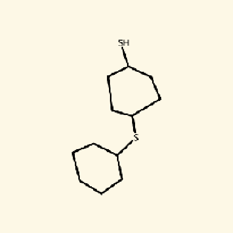 SC1CCC(SC2CCCCC2)CC1